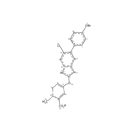 CC(C)COc1ccc(-c2nc3nc(OC4=CCC(C)C(C(=O)O)=C4)[nH]c3cc2Cl)cc1